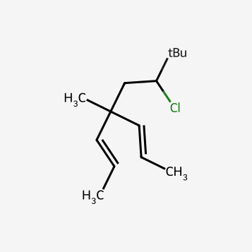 CC=CC(C)(C=CC)CC(Cl)C(C)(C)C